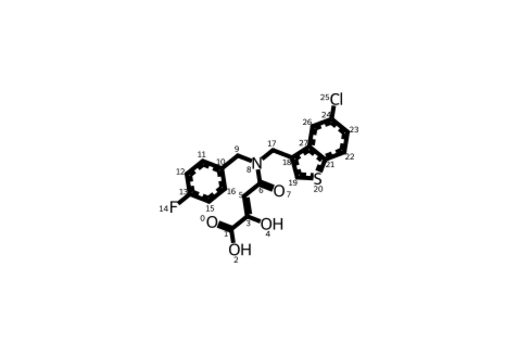 O=C(O)/C(O)=C/C(=O)N(Cc1ccc(F)cc1)Cc1csc2ccc(Cl)cc12